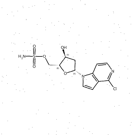 NS(=O)(=O)OC[C@H]1O[C@@H](n2ccc3c(Cl)nccc32)C[C@@H]1O